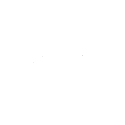 CC12CCC(C)(C1)CC(C)(CC(=O)NCC(=O)O)C2